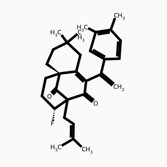 C=C(C1=C2CC(C)(C)CC[C@@]23CC[C@@H](F)C(CC=C(C)C)(C1=O)C3=O)c1ccc(C)c(C)c1